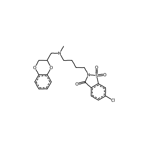 CN(CCCCN1C(=O)c2ccc(Cl)cc2S1(=O)=O)CC1COc2ccccc2O1